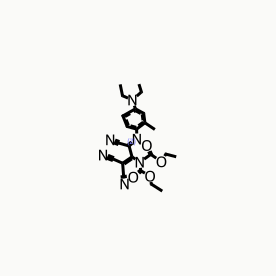 CCOC(=O)N(C(=O)OCC)C(=C(C#N)C#N)/C(C#N)=N/c1ccc(N(CC)CC)cc1C